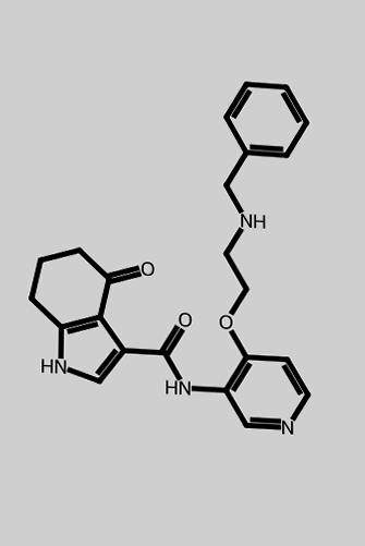 O=C(Nc1cnccc1OCCNCc1ccccc1)c1c[nH]c2c1C(=O)CCC2